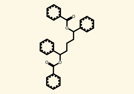 O=C(OC(CCCC(OC(=O)c1ccccc1)c1ccccc1)c1ccccc1)c1ccccc1